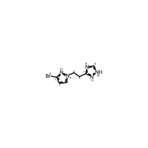 Brc1ccn(CCc2nc[nH]n2)n1